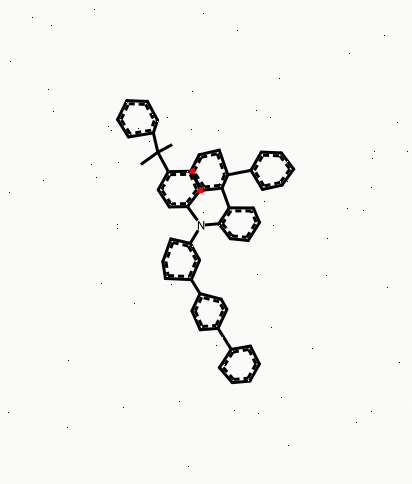 CC(C)(c1ccccc1)c1ccc(N(c2cccc(-c3ccc(-c4ccccc4)cc3)c2)c2ccccc2-c2ccccc2-c2ccccc2)cc1